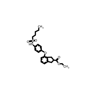 CCCCCS(=O)(=O)Nc1ccc(Oc2cccc3c2CC(C(=O)OCC)C3)cc1